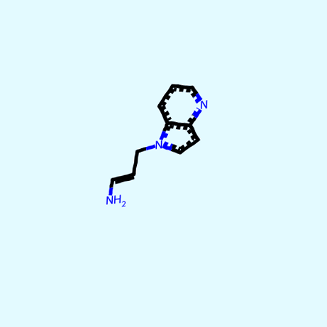 N/C=C/Cn1ccc2ncccc21